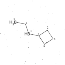 BCBC1CCC1